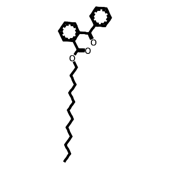 CCCCCCCCCCCCOC(=O)c1ccccc1C(=O)c1ccccc1